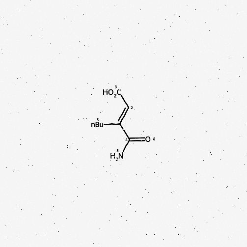 CCCC/C(=C\C(=O)O)C(N)=O